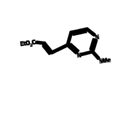 CCOC(=O)C=Cc1ccnc(SC)n1